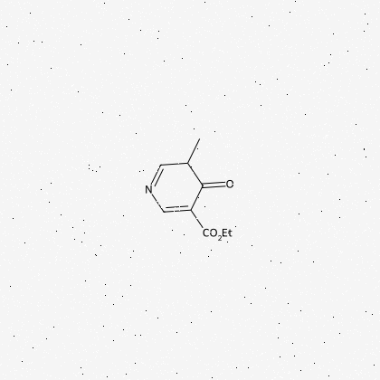 CCOC(=O)C1=CN=CC(C)C1=O